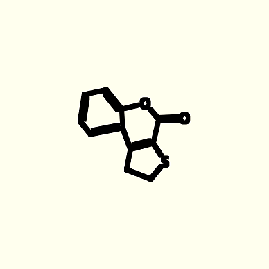 O=c1oc2ccccc2c2c1SCC2